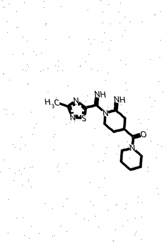 Cc1nsc(C(=N)N2CCC(C(=O)N3CCCCC3)CC2=N)n1